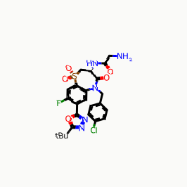 CC(C)(C)c1nnc(-c2cc3c(cc2F)S(=O)(=O)C[C@H](NC(=O)CN)C(=O)N3Cc2ccc(Cl)cc2)o1